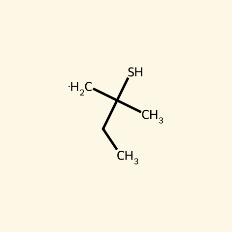 [CH2]C(C)(S)CC